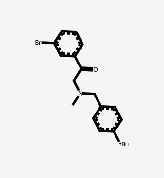 CN(CC(=O)c1cccc(Br)c1)Cc1ccc(C(C)(C)C)cc1